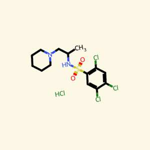 CC(CN1CCCCC1)NS(=O)(=O)c1cc(Cl)c(Cl)cc1Cl.Cl